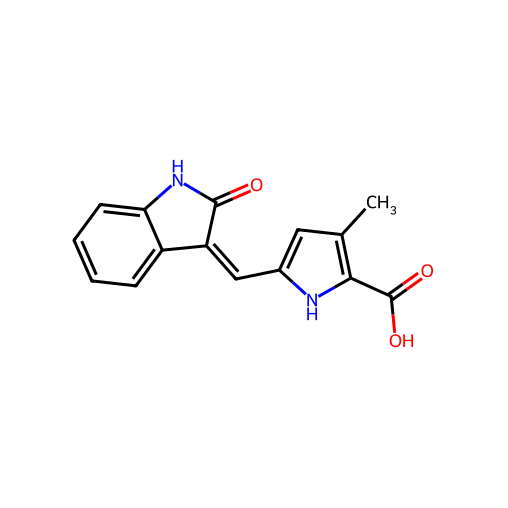 Cc1cc(/C=C2\C(=O)Nc3ccccc32)[nH]c1C(=O)O